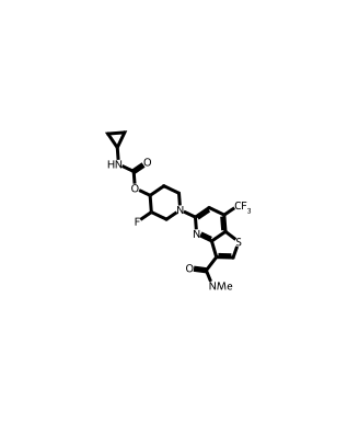 CNC(=O)c1csc2c(C(F)(F)F)cc(N3CCC(OC(=O)NC4CC4)C(F)C3)nc12